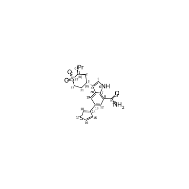 CC(C)[C@H]1C[C@H](c2c[nH]c3c(C(N)=O)cc(-c4ccsc4)cc23)CCS1(=O)=O